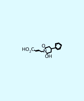 O=C(O)C=CCN1C(=O)CC(c2ccccc2)CC1O